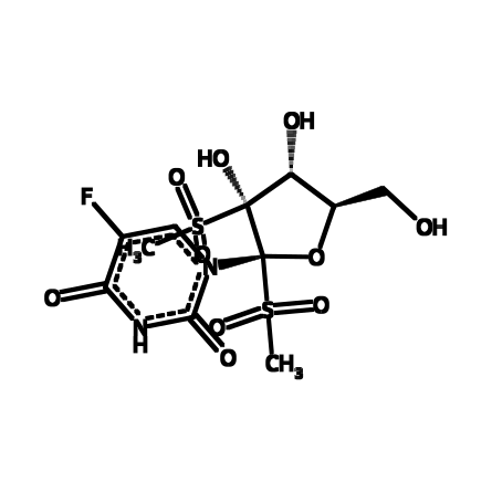 CS(=O)(=O)[C@@]1(O)[C@H](O)[C@@H](CO)O[C@]1(n1cc(F)c(=O)[nH]c1=O)S(C)(=O)=O